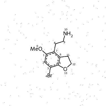 COc1cc(Br)c2c(c1CCN)CCO2